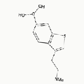 CNCCc1csc2cc(B(O)O)ccc12